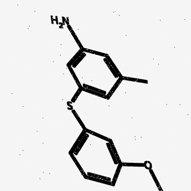 COc1cccc(Sc2cc(C)cc(N)c2)c1